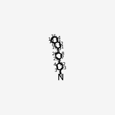 N#Cc1ccc(-c2ccc(C3C=Cc4ccccc4C3)cc2)cc1